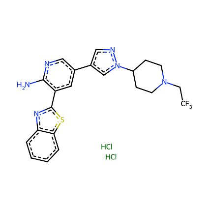 Cl.Cl.Nc1ncc(-c2cnn(C3CCN(CC(F)(F)F)CC3)c2)cc1-c1nc2ccccc2s1